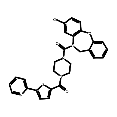 O=C(c1ccc(-c2ccccn2)s1)N1CCN(C(=O)N2Cc3ccccc3Oc3ccc(Cl)cc32)CC1